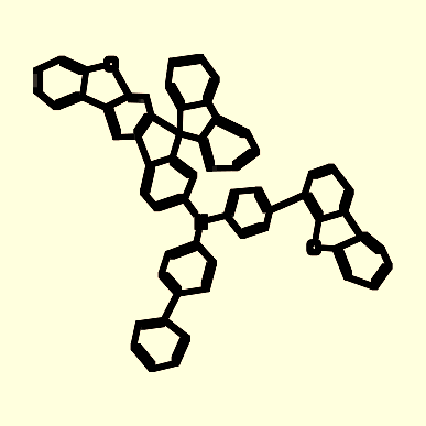 c1ccc(-c2ccc(N(c3ccc(-c4cccc5c4oc4ccccc45)cc3)c3ccc4c(c3)C3(c5ccccc5-c5ccccc53)c3cc5oc6ccccc6c5cc3-4)cc2)cc1